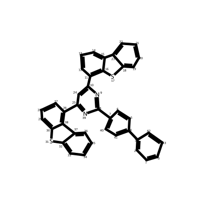 c1ccc(-c2ccc(-c3nc(-c4cccc5c4sc4ccccc45)cc(-c4cccc5sc6ccccc6c45)n3)cc2)cc1